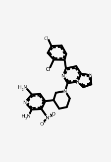 Nc1cc(C2CCCN(c3nc(-c4ccc(Cl)cc4Cl)cc4nccn34)C2)c([N+](=O)[O-])c(N)n1